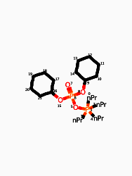 CCCP(CCC)(CCC)(CCC)OP(=O)(OC1CCCCC1)OC1CCCCC1